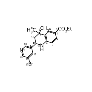 CCOC(=O)c1ccc2c(c1)C(C)(C)CC(c1cncc(Br)c1)N2